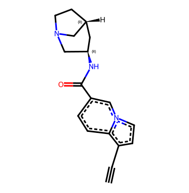 C#Cc1ccn2cc(C(=O)N[C@@H]3C[C@H]4CCN(C4)C3)ccc12